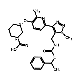 Cc1nc(-c2nnn(C)c2CNC(=O)OC(C)c2ccccc2)ccc1O[C@H]1CCC[C@H](C(=O)O)C1